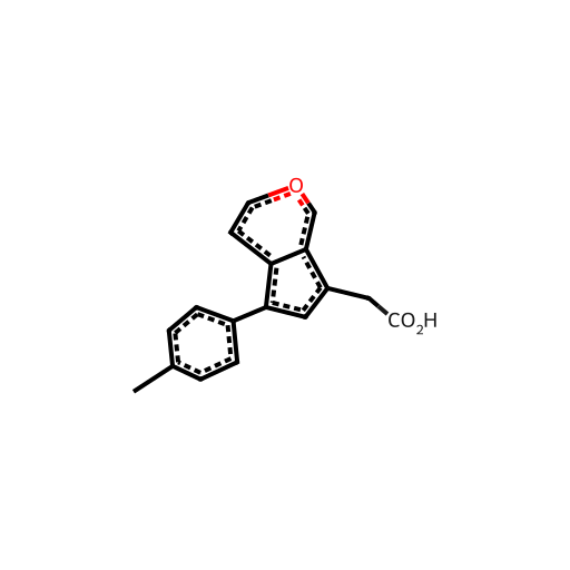 Cc1ccc(-c2cc(CC(=O)O)c3coccc2-3)cc1